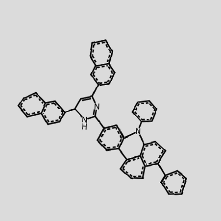 C1=C(c2ccc3ccccc3c2)N=C(c2ccc3c(c2)N(c2ccccc2)c2ccc(-c4ccccc4)c4cccc-3c24)NC1c1ccc2ccccc2c1